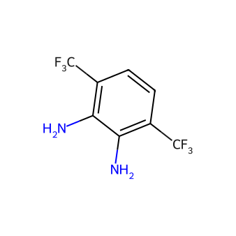 Nc1c(C(F)(F)F)ccc(C(F)(F)F)c1N